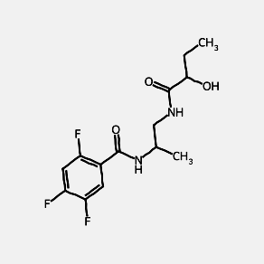 CCC(O)C(=O)NCC(C)NC(=O)c1cc(F)c(F)cc1F